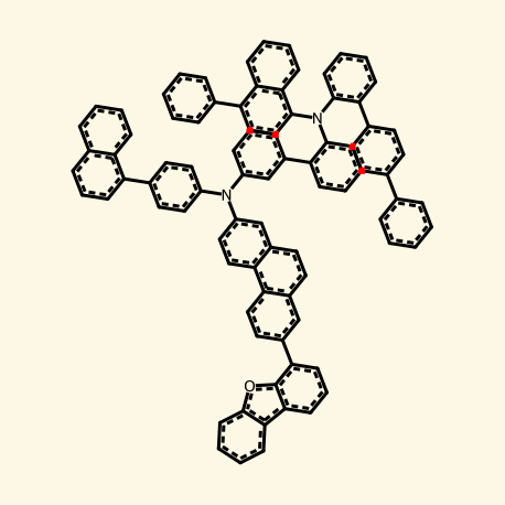 c1ccc(-c2ccc(-c3ccccc3N(c3ccccc3-c3cccc(N(c4ccc(-c5cccc6ccccc56)cc4)c4ccc5c(ccc6cc(-c7cccc8c7oc7ccccc78)ccc65)c4)c3)c3ccc(-c4ccccc4)c4ccccc34)cc2)cc1